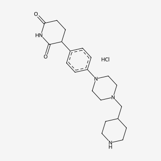 Cl.O=C1CCC(c2ccc(N3CCN(CC4CCNCC4)CC3)cc2)C(=O)N1